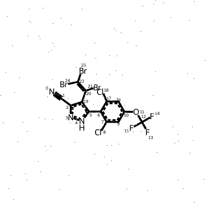 N#Cc1n[nH]c(-c2c(Cl)cc(OC(F)(F)F)cc2Cl)c1C(Br)=C(Br)Br